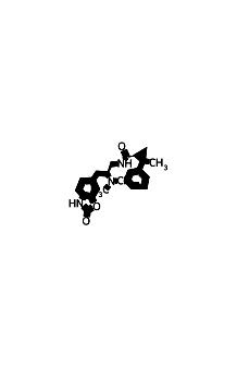 CN(C)[C@H](CNC(=O)[C@@H]1CC1(C)c1ccccc1)Cc1ccc2[nH]c(=O)oc2c1